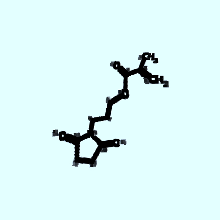 C=C(C)C(=O)OCCCN1C(=O)CCC1=O